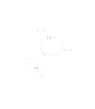 CN1CCN(C)CCN(C(CC(=O)C(C)(C)C)C(=O)O)CC1